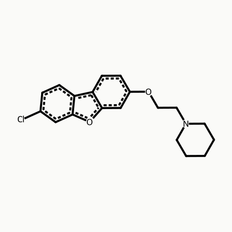 Clc1ccc2c(c1)oc1cc(OCCN3CCCCC3)ccc12